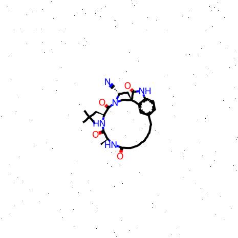 C[C@@H]1NC(=O)CCCCCc2ccc3c(c2)[C@@]2(C[C@@H](C#N)N(C2)C(=O)[C@H](CC(C)(C)C)NC1=O)C(=O)N3